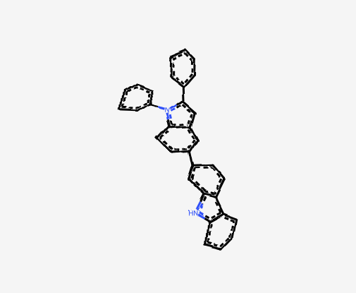 c1ccc(-c2cc3cc(-c4ccc5c(c4)[nH]c4ccccc45)ccc3n2-c2ccccc2)cc1